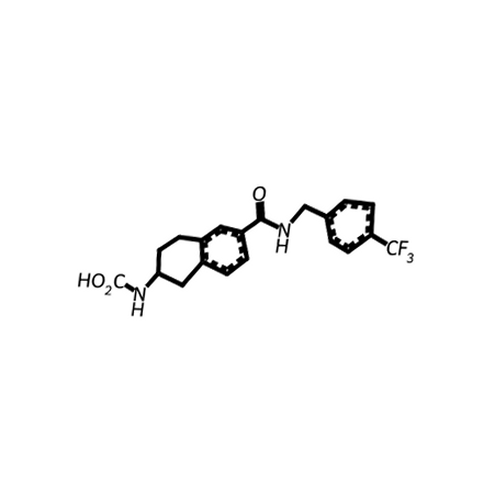 O=C(O)NC1CCc2cc(C(=O)NCc3ccc(C(F)(F)F)cc3)ccc2C1